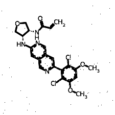 C=CC(=O)N[C@H]1COC[C@H]1Nc1cc2cnc(-c3c(Cl)c(OC)cc(OC)c3Cl)cc2cn1